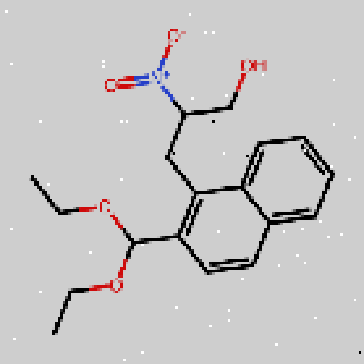 CCOC(OCC)c1ccc2ccccc2c1CC(CO)[N+](=O)[O-]